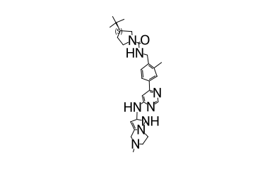 Cc1cc(-c2cc(NC3C=C4CN(C)CCN4N3)ncn2)ccc1CNC(=O)N1CC[C@@H](C(C)(C)C)C1